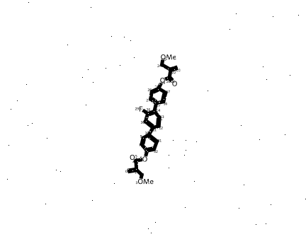 C=C(COC)C(=O)Oc1ccc(-c2ccc(-c3ccc(OC(=O)C(=C)COC)cc3)c(F)c2)cc1